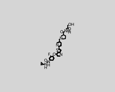 O=C(Nc1ccc(Oc2ccnc3cc(-c4ccc(CN5CCCC(C(=O)NC[C@@H](O)CO)C5)cn4)sc23)c(F)c1)NC1CC1